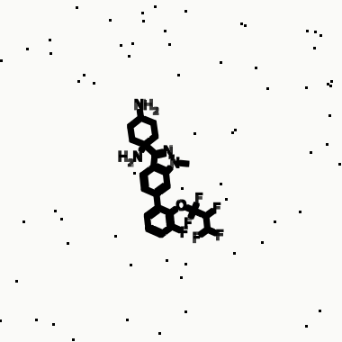 Cn1nc(C2(N)CCC(N)CC2)c2ccc(-c3cccc(F)c3OC(F)(F)C(F)C(F)F)cc21